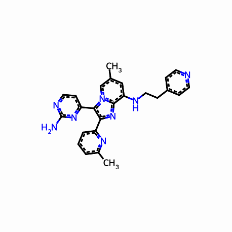 Cc1cc(NCCc2ccncc2)c2nc(-c3cccc(C)n3)c(-c3ccnc(N)n3)n2c1